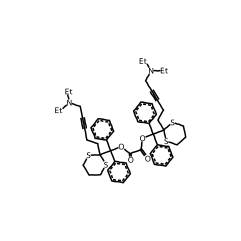 CCN(CC)CC#CCCC1(C(OC(=O)C(=O)OC(c2ccccc2)(c2ccccc2)C2(CCC#CCN(CC)CC)SCCCS2)(c2ccccc2)c2ccccc2)SCCCS1